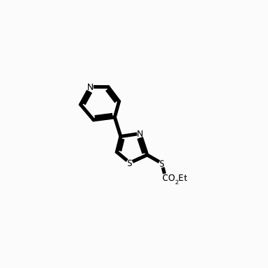 CCOC(=O)Sc1nc(-c2ccncc2)cs1